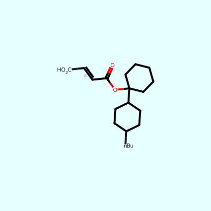 CCCCC1CCC(C2(OC(=O)/C=C/C(=O)O)CCCCC2)CC1